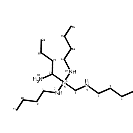 CCCCNC[N+](NCCCC)(NCCCC)C(N)CCC